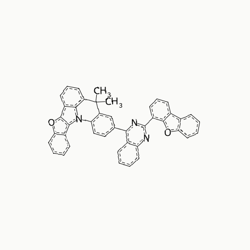 CC1(C)c2cc(-c3nc(-c4cccc5c4oc4ccccc45)nc4ccccc34)ccc2-n2c3c1cccc3c1oc3ccccc3c12